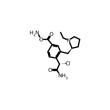 CCN1CCC[C@H]1Cc1cc(C(=O)ON)ccc1[C@H](Cl)C(N)=O